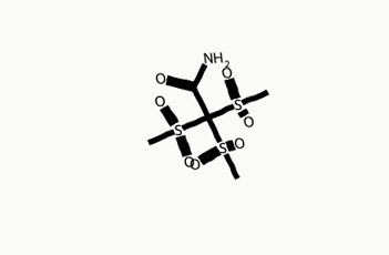 CS(=O)(=O)C(C(N)=O)(S(C)(=O)=O)S(C)(=O)=O